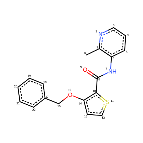 Cc1ncccc1NC(=O)c1sccc1OCc1ccccc1